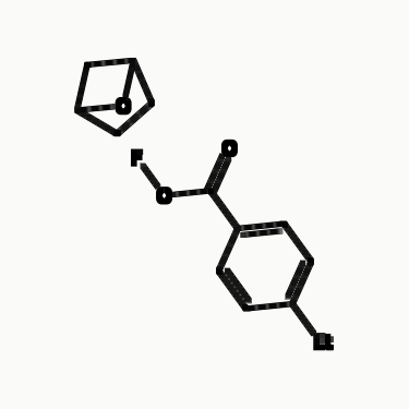 C1CC2CC1O2.CCc1ccc(C(=O)OF)cc1